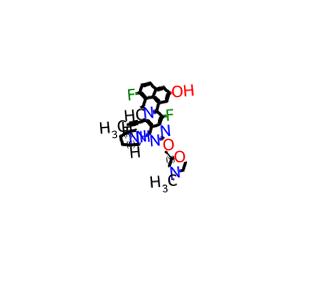 C#Cc1c(F)ccc2cc(O)cc(-c3nc(C#CC)c4c(N5C[C@H]6CC[C@@H](C5)N6)nc(OC[C@@H]5CN(C)CCO5)nc4c3F)c12